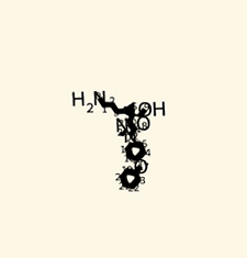 NCCCC1C[C@]1(C(=O)O)c1cn(-c2ccc(Oc3ccccc3)cc2)cn1